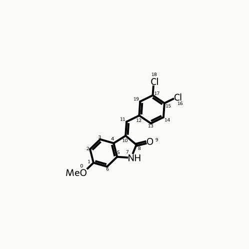 COc1ccc2c(c1)NC(=O)C2=Cc1ccc(Cl)c(Cl)c1